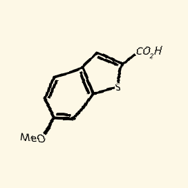 COc1ccc2cc(C(=O)O)sc2c1